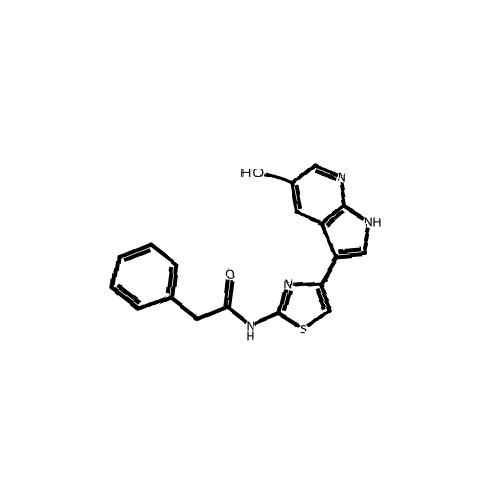 O=C(Cc1ccccc1)Nc1nc(-c2c[nH]c3ncc(O)cc23)cs1